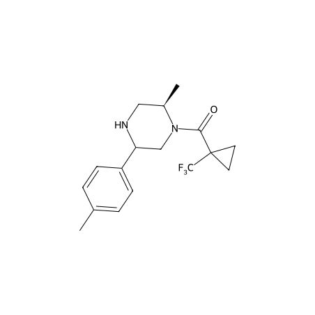 Cc1ccc(C2CN(C(=O)C3(C(F)(F)F)CC3)[C@H](C)CN2)cc1